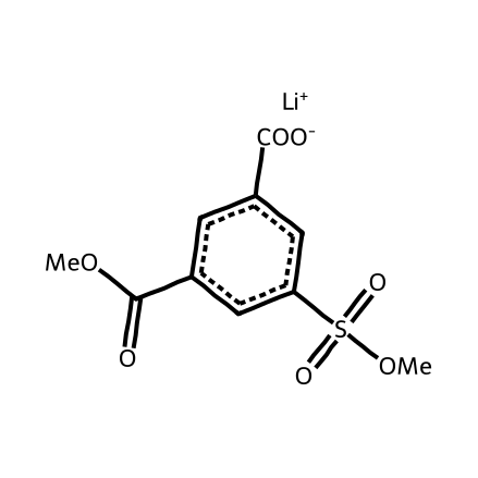 COC(=O)c1cc(C(=O)[O-])cc(S(=O)(=O)OC)c1.[Li+]